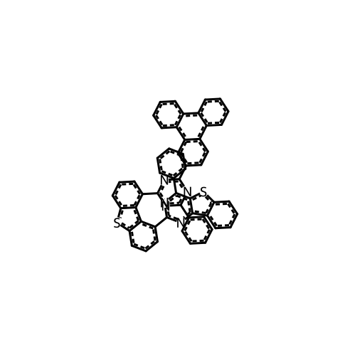 c1ccc(-c2nc(-c3ccc4c5ccccc5c5ccccc5c4c3)nc(-c3cccc4sc5cccc(-c6nc(-c7ccccc7)c7sc8ccccc8c7n6)c5c34)n2)cc1